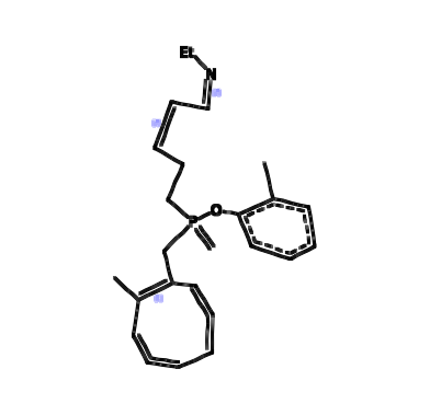 C=P(CC/C=C\C=N/CC)(C/C1=C(\C)C=C=CC=C=C1)Oc1ccccc1C